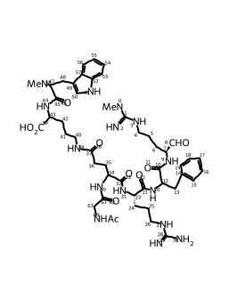 CNC(=N)NCCC[C@@H](C=O)NC(=O)C(Cc1ccccc1)NC(=O)[C@H](CCCNC(=N)N)NC(=O)C(CCC(=O)NCCCC(NC(=O)[C@H](Cc1c[nH]c2ccccc12)NC)C(=O)O)NC(=O)CNC(C)=O